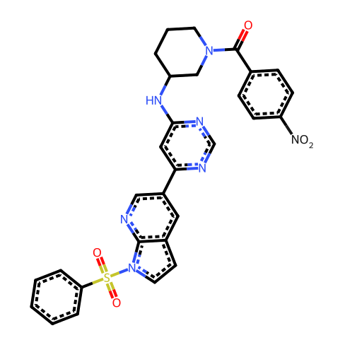 O=C(c1ccc([N+](=O)[O-])cc1)N1CCCC(Nc2cc(-c3cnc4c(ccn4S(=O)(=O)c4ccccc4)c3)ncn2)C1